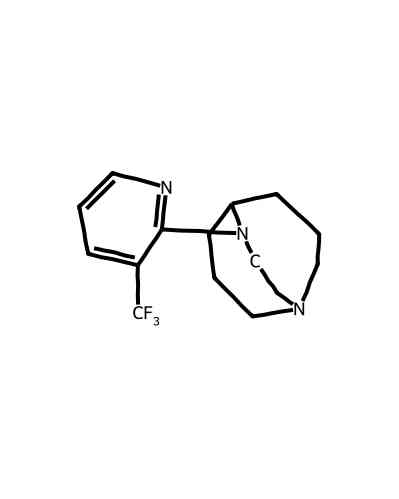 FC(F)(F)c1cccnc1N1CCN2CCCC1CCC2